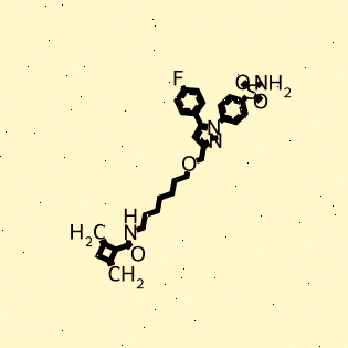 C=C1CC(=C)C1C(=O)NCCCCCCCOCc1cc(-c2ccc(F)cc2)n(-c2ccc(S(N)(=O)=O)cc2)n1